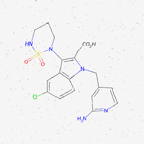 Nc1cc(Cn2c(C(=O)O)c(N3CCCNS3(=O)=O)c3cc(Cl)ccc32)ccn1